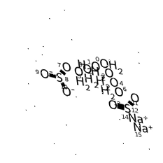 O.O.O.O.O.O.O.O=S([O-])[O-].O=S=O.[Na+].[Na+]